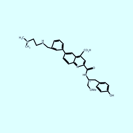 COC[C@H](Cc1ccc(O)cc1)NC(=O)c1cc(C(=O)O)c2cc(-c3cccc(CNCCN(C)C)c3)ccc2n1